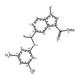 COC(=O)c1cn(C)c2cnc(C(C)Sc3nc(N)cc(C#N)n3)cc12